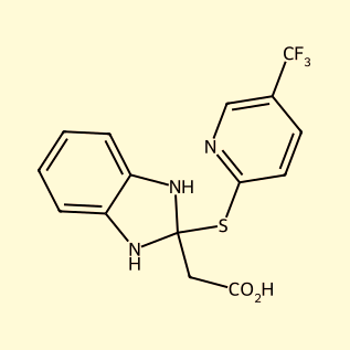 O=C(O)CC1(Sc2ccc(C(F)(F)F)cn2)Nc2ccccc2N1